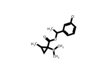 CC(OC(=O)C1(N(C)C)CC1C)c1cccc(Cl)c1